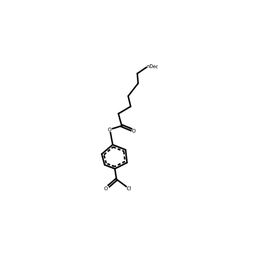 CCCCCCCCCCCCCCCC(=O)Oc1ccc(C(=O)Cl)cc1